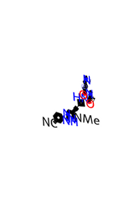 CNc1nc(Nc2cccc(C#N)c2)ncc1C#C[C@H]1C[C@@H](NC(=O)[C@H](C)N(C)C(=O)/C=C/CN(C)C)C1